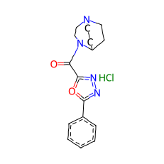 Cl.O=C(c1nnc(-c2ccccc2)o1)N1CCN2CCC1CC2